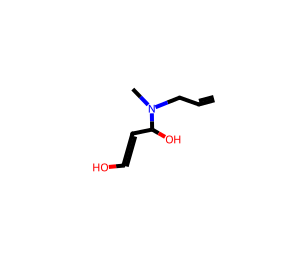 C=CCN(C)C(O)C=CO